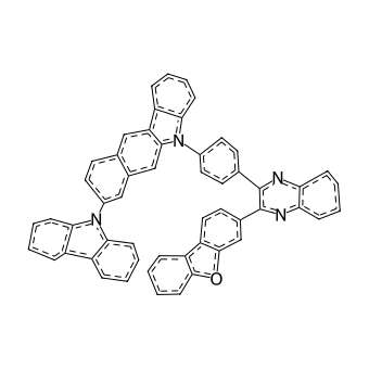 c1ccc2nc(-c3ccc4c(c3)oc3ccccc34)c(-c3ccc(-n4c5ccccc5c5cc6ccc(-n7c8ccccc8c8ccccc87)cc6cc54)cc3)nc2c1